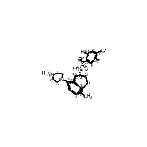 Cc1ccc(N2CCN(C)CC2)c2c1CC[C@@H](NS(=O)(=O)c1cc(F)c(Cl)cc1F)C2